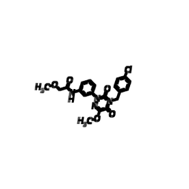 COCC(=O)Nc1cccc(-n2nc(OC)c(=O)n(Cc3ccc(Cl)cc3)c2=O)c1